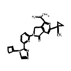 C[C@H](N)c1nc(C2(C)CC2)cc2c1CN(c1cccc(-c3nncn3C3CCC3)n1)C2=O